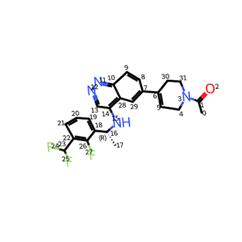 CC(=O)N1CC=C(c2ccc3nncc(N[C@H](C)c4cccc(C(F)F)c4F)c3c2)CC1